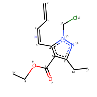 C=C/C=C\c1c(C(=O)OCC)c(CC)nn1CCl